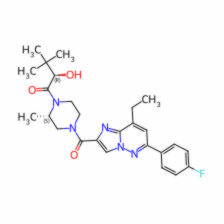 CCc1cc(-c2ccc(F)cc2)nn2cc(C(=O)N3CCN(C(=O)[C@H](O)C(C)(C)C)[C@@H](C)C3)nc12